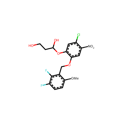 COc1ccc(F)c(F)c1COc1cc([N+](=O)[O-])c(Cl)cc1OC(O)CCO